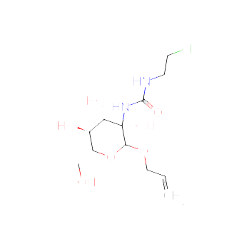 C=CCOC1O[C@H](CO)[C@@H](O)[C@H](O)[C@@]1(O)NC(=O)NCCCl